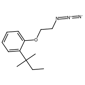 CCC(C)(C)c1ccccc1OCCN=[N+]=[N-]